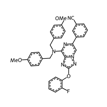 COc1ccc(CN(Cc2ccc(OC)cc2)c2nc(-c3cccc(C#N)c3)cn3nc(Oc4ccccc4F)nc23)cc1